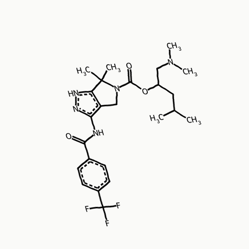 CC(C)CC(CN(C)C)OC(=O)N1Cc2c(NC(=O)c3ccc(C(F)(F)F)cc3)n[nH]c2C1(C)C